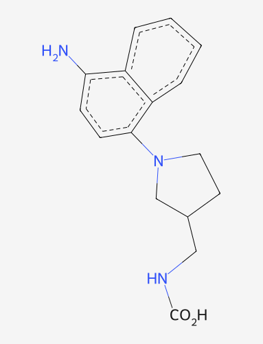 Nc1ccc(N2CCC(CNC(=O)O)C2)c2ccccc12